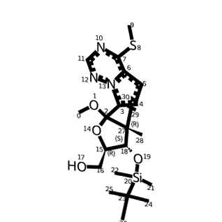 COC1(c2ccc3c(SC)ncnn23)O[C@H](CO)[C@@H](O[Si](C)(C)C(C)(C)C)[C@@]1(C)C#N